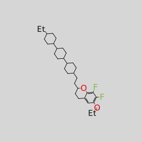 CCOc1cc2c(c(F)c1F)OC(CCC1CCC(C3CCC(C4CCC(CC)CC4)CC3)CC1)CC2